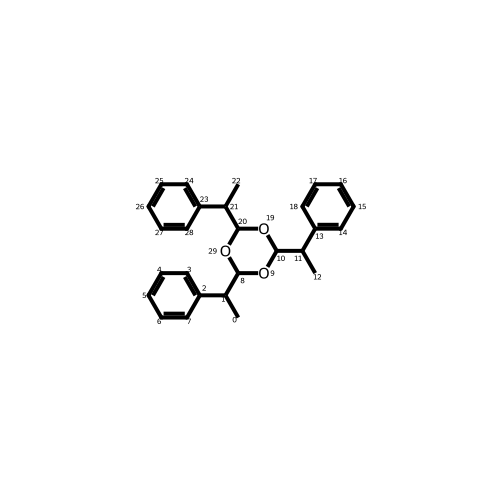 CC(c1ccccc1)C1OC(C(C)c2ccccc2)OC(C(C)c2ccccc2)O1